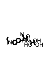 CCC1CN1c1ccc2cc(/C=C(\C#N)C(=O)NCC(O)C(O)CO)ccc2c1